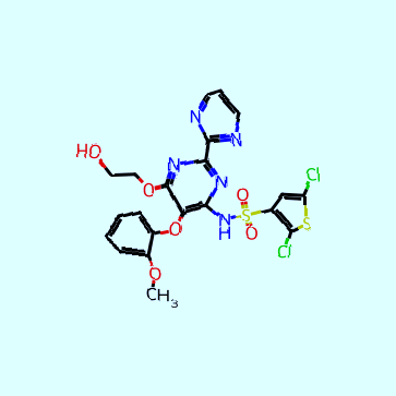 COc1ccccc1Oc1c(NS(=O)(=O)c2cc(Cl)sc2Cl)nc(-c2ncccn2)nc1OCCO